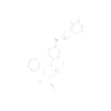 CC#C[C@@]1(O)CC[C@@]2(Cc3ccccc3)c3ccc(C(=O)NCc4cccc(C)n4)cc3CC[C@@H]2C1